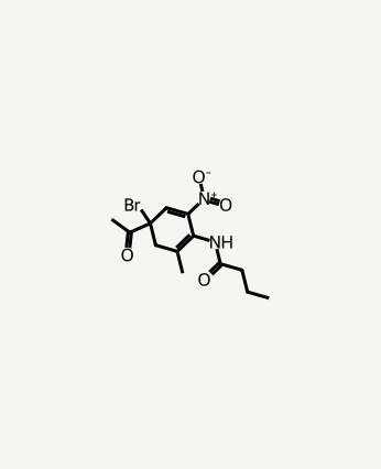 CCCC(=O)NC1=C(C)CC(Br)(C(C)=O)C=C1[N+](=O)[O-]